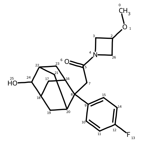 COC1CN(C(=O)CC2(c3ccc(F)cc3)C3CC4CC2CC(C3)C4O)C1